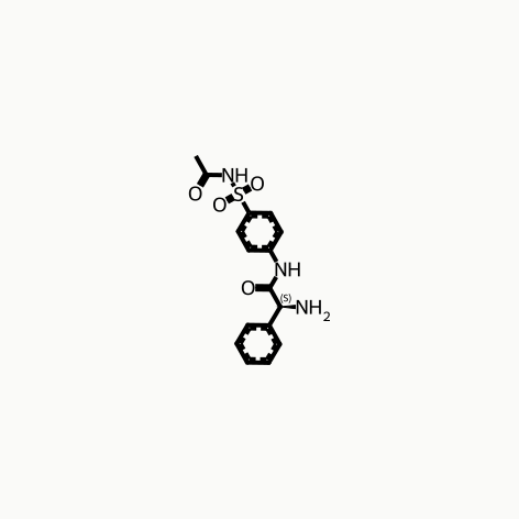 CC(=O)NS(=O)(=O)c1ccc(NC(=O)[C@@H](N)c2ccccc2)cc1